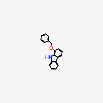 c1ccc(COc2cccc3c2[nH]c2ccccc23)cc1